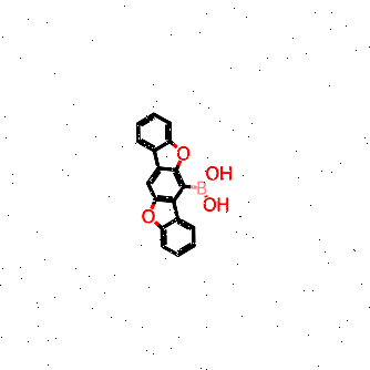 OB(O)c1c2oc3ccccc3c2cc2oc3ccccc3c12